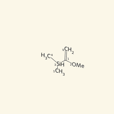 C=C(OC)[SiH](C)C